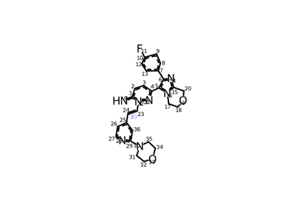 N=c1ccc(-c2c(-c3ccc(F)cc3)nc3n2CCOC3)nn1/C=C/c1ccnc(N2CCOCC2)c1